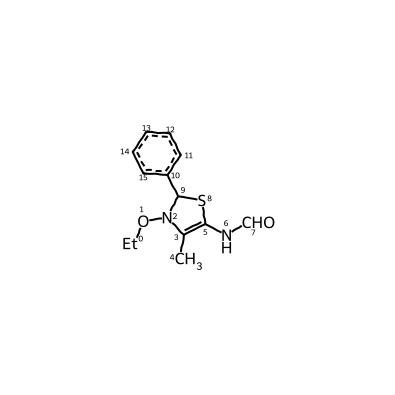 CCON1C(C)=C(NC=O)SC1c1ccccc1